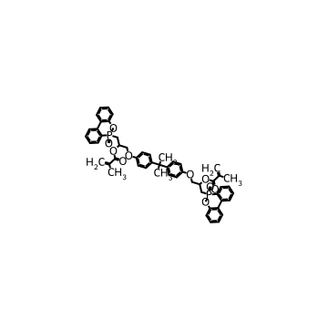 C=C(C)C(=O)OC(COc1ccc(C(C)(C)c2ccc(OCC(CP3(=O)Oc4ccccc4-c4ccccc43)OC(=O)C(=C)C)cc2)cc1)CP1(=O)Oc2ccccc2-c2ccccc21